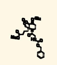 COC(=O)CCC[C@]1(C=C=O)C(=O)N(OC(C)(C)C)CCN1C(=O)CNC(=O)OCc1ccccc1